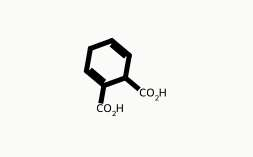 O=C(O)C1=CCC=CC1C(=O)O